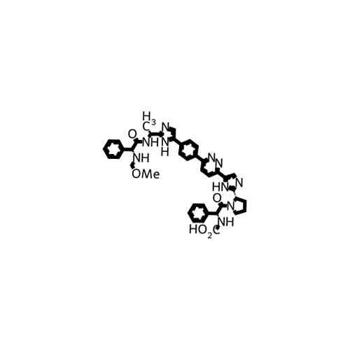 COCN[C@@H](C(=O)N[C@@H](C)c1ncc(-c2ccc(-c3ccc(-c4cnc([C@@H]5CCCN5C(=O)[C@H](NC(=O)O)c5ccccc5)[nH]4)nn3)cc2)[nH]1)c1ccccc1